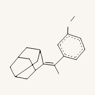 COc1cccc(C(C)=C2C3CC4CC(C3)CC2C4)c1